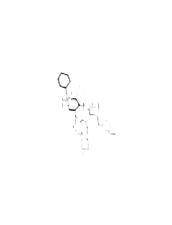 CCOCCCNc1c(N2CCNCC2)cnn(-c2ccccc2)c1=O